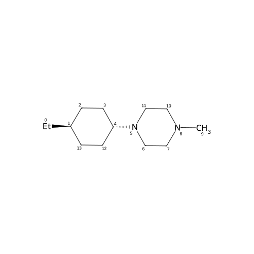 CC[C@H]1CC[C@H](N2CCN(C)CC2)CC1